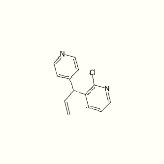 C=CC(c1ccncc1)c1[c]ccnc1Cl